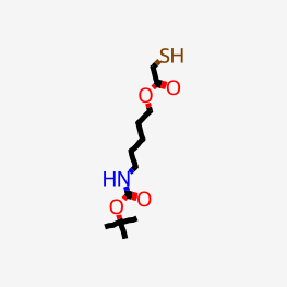 CC(C)(C)OC(=O)NCCCCCOC(=O)CS